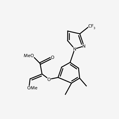 CO/C=C(\Oc1cc(-n2ccc(C(F)(F)F)n2)cc(C)c1C)C(=O)OC